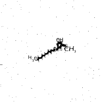 CCCCCCCCCCCCOCc1cc(O)cc(CC)c1